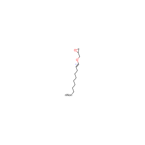 CCCCCCCCCCCCCCCC/C=C/OCC1CO1